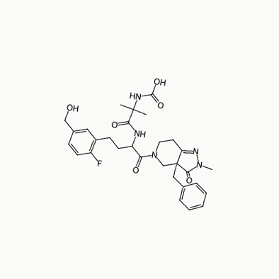 CN1N=C2CCN(C(=O)C(CCc3cc(CO)ccc3F)NC(=O)C(C)(C)NC(=O)O)CC2(Cc2ccccc2)C1=O